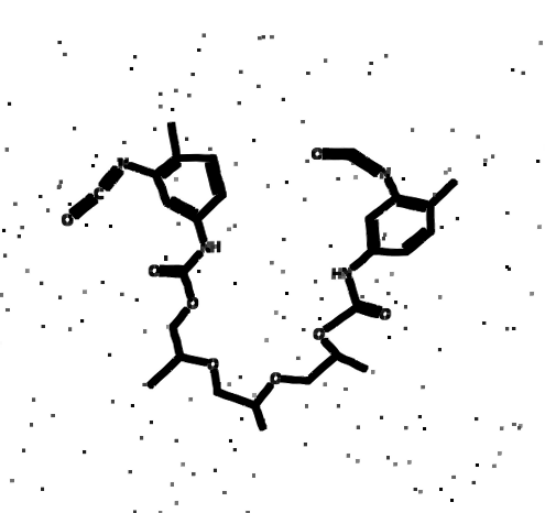 Cc1ccc(NC(=O)OCC(C)OCC(C)OCC(C)OC(=O)Nc2ccc(C)c(N=C=O)c2)cc1N=C=O